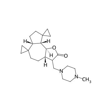 CN1CCN(CC2C(=O)O[C@@H]3[C@@H]4[C@@H](CCC45CC5)C4(CC[C@@H]23)CC4)CC1